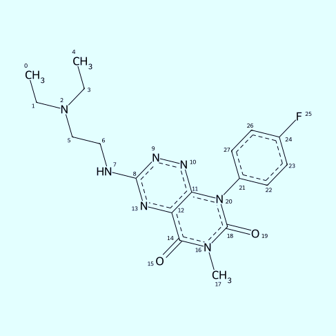 CCN(CC)CCNc1nnc2c(n1)c(=O)n(C)c(=O)n2-c1ccc(F)cc1